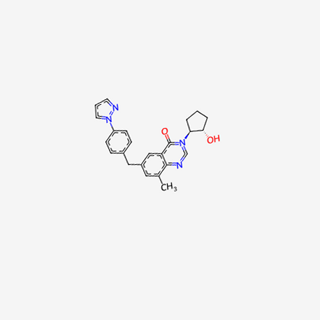 Cc1cc(Cc2ccc(-n3cccn3)cc2)cc2c(=O)n([C@H]3CCC[C@@H]3O)cnc12